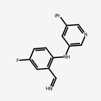 CC(C)c1cncc(Nc2ccc(F)cc2C=N)c1